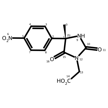 C[C@@]1(c2ccc([N+](=O)[O-])cc2)NC(=O)N(CC(=O)O)C1=O